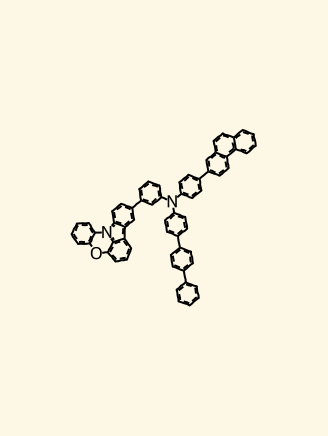 c1ccc(-c2ccc(-c3ccc(N(c4ccc(-c5ccc6c(ccc7ccccc76)c5)cc4)c4cccc(-c5ccc6c(c5)c5cccc7c5n6-c5ccccc5O7)c4)cc3)cc2)cc1